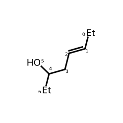 CC/C=C/CC(O)CC